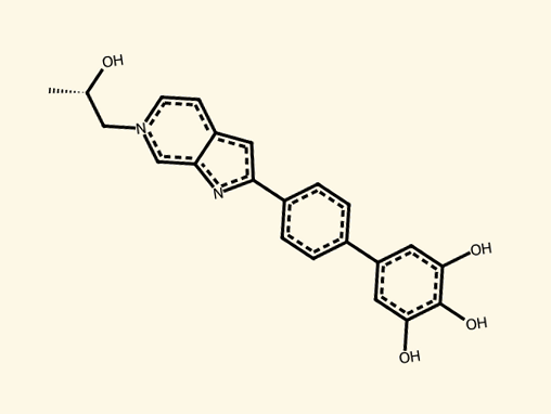 C[C@H](O)Cn1ccc2cc(-c3ccc(-c4cc(O)c(O)c(O)c4)cc3)nc-2c1